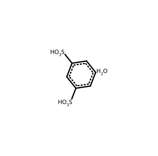 O.O=S(=O)(O)c1cccc(S(=O)(=O)O)c1